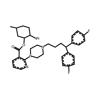 CC1CCC(C(C)C)C(OC(=O)c2cccnc2N2CCN(CCCC(c3ccc(F)cc3)c3ccc(F)cc3)CC2)C1